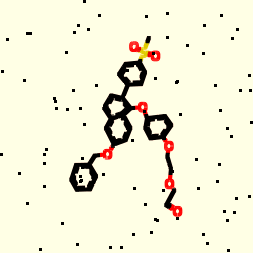 CS(=O)(=O)c1ccc(-c2ccc3cc(OCc4ccccc4)ccc3c2Oc2ccc(OCCOCC=O)cc2)cc1